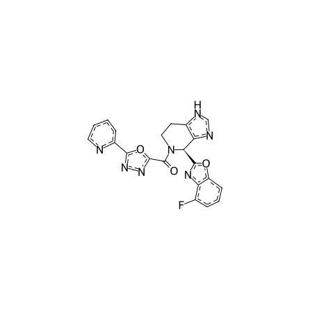 O=C(c1nnc(-c2ccccn2)o1)N1CCc2[nH]cnc2[C@H]1c1nc2c(F)cccc2o1